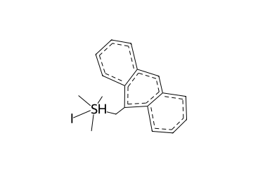 C[SH](C)(C)(I)Cc1c2ccccc2cc2ccccc12